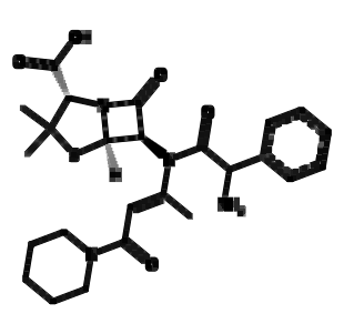 CC(=CC(=O)N1CCCCC1)N(C(=O)C(N)c1ccccc1)[C@@H]1C(=O)N2[C@@H]1SC(C)(C)[C@@H]2C(=O)O